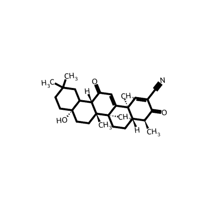 C[C@@H]1C(=O)C(C#N)=C[C@]2(C)C3=CC(=O)[C@H]4C5CC(C)(C)CC[C@]5(O)CC[C@@]4(C)[C@]3(C)CC[C@@H]12